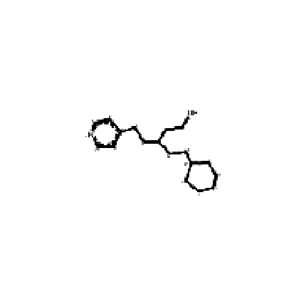 OCCC(C[CH]c1ccncc1)CCC1CCCCC1